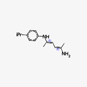 C/C(N)=C\C=C(/C)Nc1ccc(C(C)C)cc1